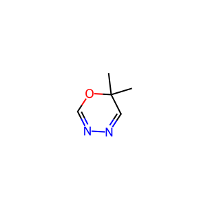 CC1(C)C=NN=CO1